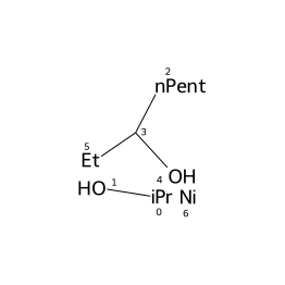 CC(C)O.CCCCCC(O)CC.[Ni]